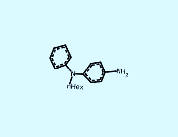 CCCCCCN(c1ccccc1)c1ccc(N)cc1